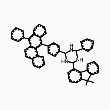 CC1(C)c2ccccc2-c2c(C3NC(c4ccccc4)NC(c4ccc(-c5c6ccccc6c(-c6ccccc6)c6ccc7ccccc7c56)cc4)N3)cccc21